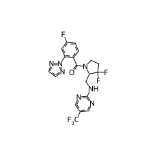 O=C(c1ccc(F)cc1-n1nccn1)N1CCC(F)(F)C1CNc1ncc(C(F)(F)F)cn1